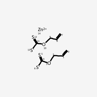 C=CCOC(=S)[S-].C=CCOC(=S)[S-].[Zn+2]